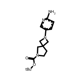 CC(C)(C)OC(=O)N1CCC2(C1)CN(c1ccc(N)nc1)C2